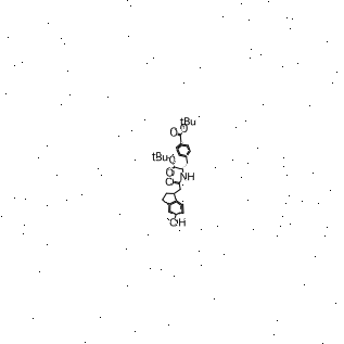 CC(C)(C)OC(=O)c1ccc(C[C@H](NC(=O)CC2CCc3cc(O)ccc32)C(=O)OC(C)(C)C)cc1